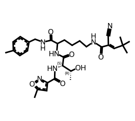 Cc1ccc(CNC(=O)C(CCCCNC(=O)C(C#N)=CC(C)(C)C)NC(=O)[C@@H](NC(=O)c2cc(C)on2)[C@@H](C)O)cc1